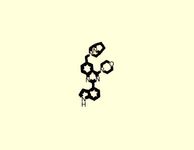 c1cc(-c2nc(N3CCOCC3)c3cc(CN4CC5CCC(C4)N5)ccc3n2)c2cc[nH]c2c1